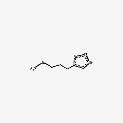 NSCCCc1c[nH]nn1